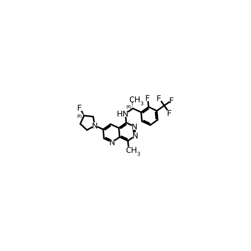 Cc1nnc(N[C@H](C)c2cccc(C(F)(F)F)c2F)c2cc(N3CC[C@@H](F)C3)cnc12